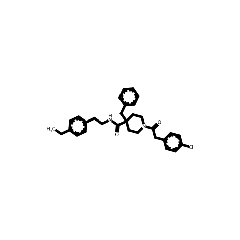 CCc1ccc(CCNC(=O)C2(Cc3ccccc3)CCN(C(=O)Cc3ccc(Cl)cc3)CC2)cc1